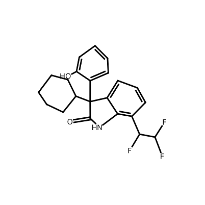 O=C1Nc2c(C(F)C(F)F)cccc2C1(c1ccccc1O)C1CCCCC1